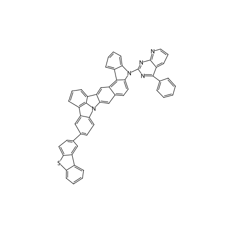 c1ccc(-c2nc(-n3c4ccccc4c4c5cc6c7cccc8c9cc(-c%10ccc%11sc%12ccccc%12c%11c%10)ccc9n(c6cc5ccc43)c87)nc3ncccc23)cc1